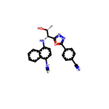 [C-]#[N+]c1ccc(N[C@@H](c2nnc(-c3ccc(C#N)cc3)o2)[C@@H](C)O)c2ccccc12